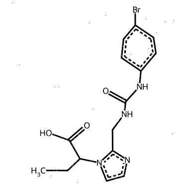 CCC(C(=O)O)n1ccnc1CNC(=O)Nc1ccc(Br)cc1